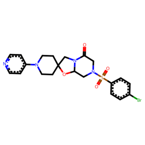 O=C1CN(S(=O)(=O)c2ccc(Br)cc2)CC2OC3(CCN(c4ccncc4)CC3)CN12